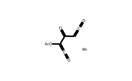 CC(=O)OC(=C=O)C(=O)C=C=O.[Rh]